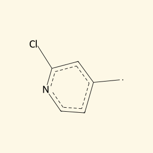 [CH2]c1ccnc(Cl)c1